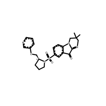 CC1(C)CN=C2C(=O)c3cc(S(=O)(=O)N4CCC[C@H]4COc4cccnc4)ccc3N2C1